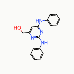 OCc1cc(Nc2ccccc2)nc(Nc2ccccc2)n1